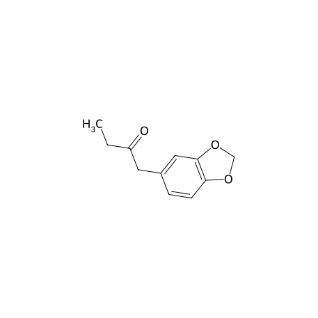 CCC(=O)Cc1ccc2c(c1)OCO2